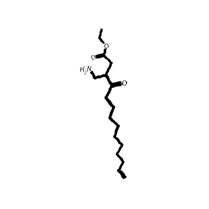 C=CCCCCCCCCC(=O)C(CN)CC(=O)OCC